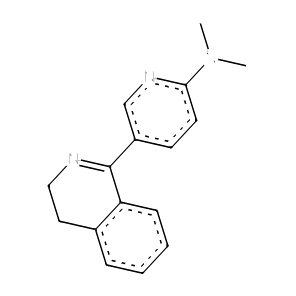 CN(C)c1ccc(C2=NCCc3ccccc32)cn1